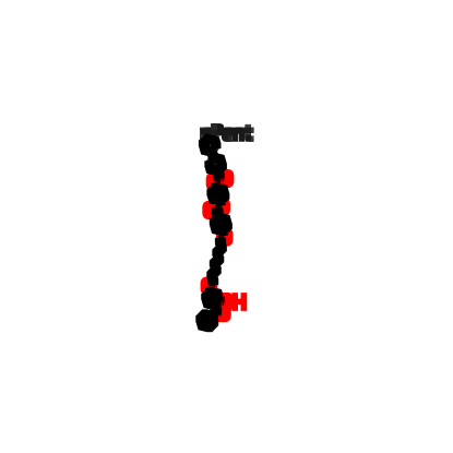 CCCCC[C@H]1CC[C@H]([C@H]2CC[C@H](C(=O)Oc3ccc(OC(=O)c4ccc(OCCCCCCCCOc5ccc(C(=O)c6ccccc6)c(O)c5)cc4)cc3)CC2)CC1